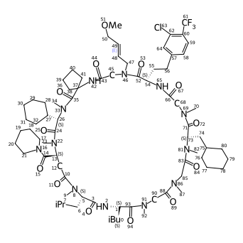 CC[C@H](C)[C@@H]1NC(=O)[C@H](CC(C)C)N(C)C(=O)C[C@@H](C(=O)N2CCCCC2)N(C)C(=O)[C@H](C2CCCCC2)N(C)C(=O)C2(CCCC2)NC(=O)CN(C/C=C/COC)C(=O)[C@H](CCc2ccc(C(F)(F)F)c(Cl)c2)NC(=O)CN(C)C(=O)[C@H](CC2CCCCC2)N(C)C(=O)CN(C)C(=O)CN(C)C1=O